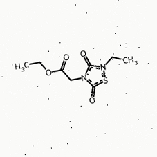 CCOC(=O)Cn1c(=O)sn(CC)c1=O